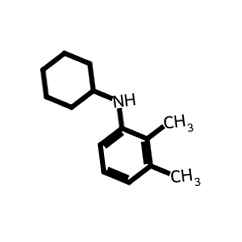 Cc1cccc(NC2CCCCC2)c1C